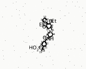 CCOc1cc(CN2CCC(NC(=O)c3ccc(C(C)(C)C(=O)O)cc3)CC2)cc(OCC)c1-n1cccc1